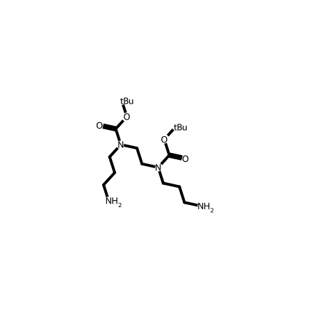 CC(C)(C)OC(=O)N(CCCN)CCN(CCCN)C(=O)OC(C)(C)C